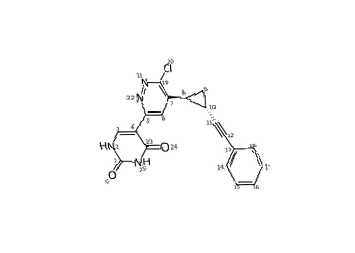 O=c1[nH]cc(-c2cc([C@H]3C[C@@H]3C#Cc3ccccc3)c(Cl)nn2)c(=O)[nH]1